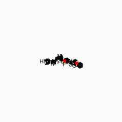 O=C(Nc1ccc(Oc2ccnc3c2SC(c2cnn(C4CCNCC4)c2)C3)c(F)c1)N1CCN(c2ccccc2)C1=O